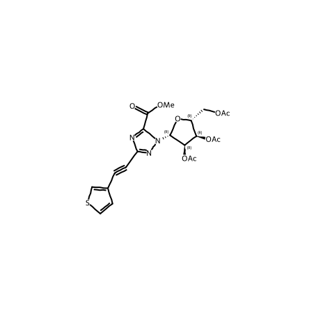 COC(=O)c1nc(C#Cc2ccsc2)nn1[C@@H]1O[C@H](COC(C)=O)[C@@H](OC(C)=O)[C@H]1OC(C)=O